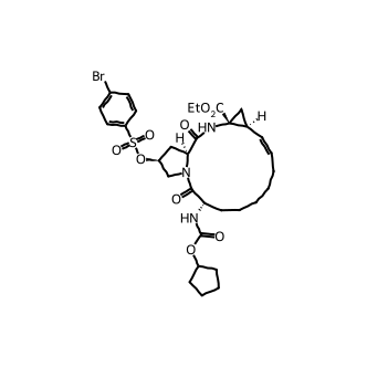 CCOC(=O)[C@@]12C[C@H]1C=CCCCCC[C@H](NC(=O)OC1CCCC1)C(=O)N1C[C@@H](OS(=O)(=O)c3ccc(Br)cc3)C[C@H]1C(=O)N2